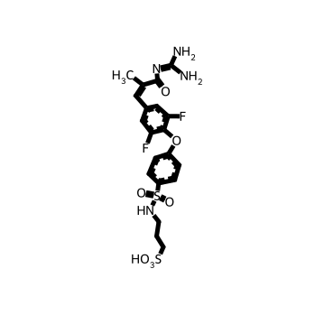 CC(=Cc1cc(F)c(Oc2ccc(S(=O)(=O)NCCCS(=O)(=O)O)cc2)c(F)c1)C(=O)N=C(N)N